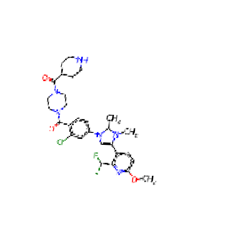 COc1ccc(C2=CN(c3ccc(C(=O)N4CCN(C(=O)C5CCNCC5)CC4)c(Cl)c3)C(C)N2C)c(C(F)F)n1